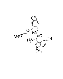 COCCOCc1nc(C(F)(F)F)ccc1CNC(=O)C(C)c1cn(C)c2ccc(O)cc12